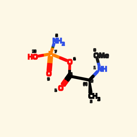 CON[C@@H](C)C(=O)OP(N)(=O)O